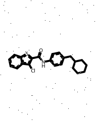 O=C(Nc1ccc(C[C]2CCCCC2)cc1)c1sc2ccccc2c1Cl